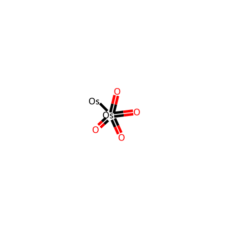 [O]=[Os](=[O])(=[O])(=[O])[Os]